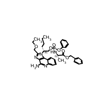 CCCC[C@H](CO[P@](=O)(N[C@@H](C)C(=O)OCc1ccccc1)Oc1ccccc1)n1c(COCC)nc2c(N)nc3ccccc3c21